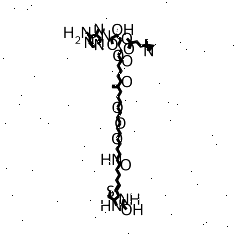 C=C(CCCOCCOCCOCCCNC(=O)CCC/C=C1\SCC2NC(O)NC12)C(=O)CCCC(=O)OC[C@H]1OC(n2cnc3c(N)ncnc32)[C@H](O)C1OC(=O)CCC1(C)C=N1